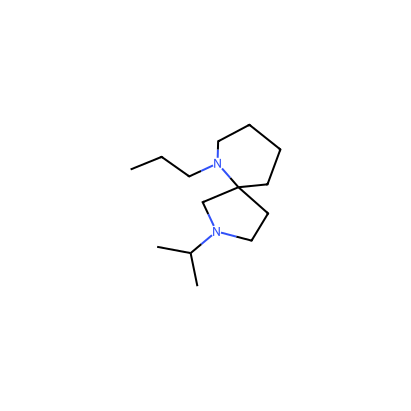 CCCN1CCCCC12CCN(C(C)C)C2